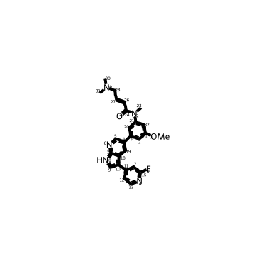 COc1cc(-c2cnc3[nH]cc(-c4ccnc(F)c4)c3c2)cc(N(C)C(=O)/C=C/CN(C)C)c1